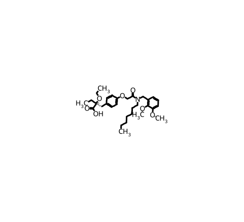 CCCCCCCN(Cc1cccc(OC)c1OC)C(=O)COc1ccc(C[C@](CC)(OCC)C(=O)O)cc1